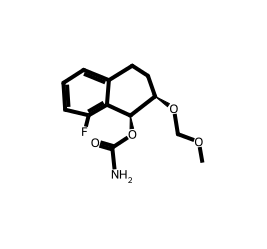 COCO[C@@H]1CCc2cccc(F)c2[C@@H]1OC(N)=O